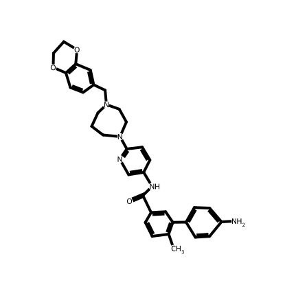 Cc1ccc(C(=O)Nc2ccc(N3CCCN(Cc4ccc5c(c4)OCCO5)CC3)nc2)cc1-c1ccc(N)cc1